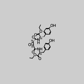 CCOC(=O)[C@H](Cc1ccc(O)cc1)NC(=O)[C@H]1O[C@@H]1C(=O)N[C@@H](Cc1ccc(O)cc1)C(=O)OCC